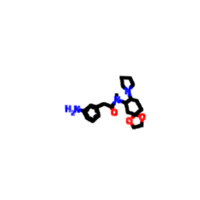 CN(C(=O)Cc1cccc(N)c1)C1CC2(CCC1N1CCCC1)OCCO2